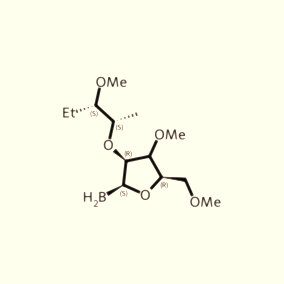 B[C@@H]1O[C@H](COC)C(OC)[C@@H]1O[C@@H](C)[C@H](CC)OC